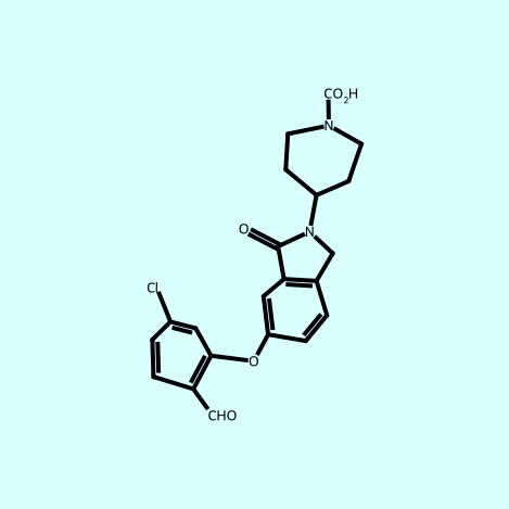 O=Cc1ccc(Cl)cc1Oc1ccc2c(c1)C(=O)N(C1CCN(C(=O)O)CC1)C2